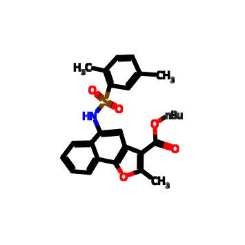 CCCCOC(=O)c1c(C)oc2c1cc(NS(=O)(=O)c1cc(C)ccc1C)c1ccccc12